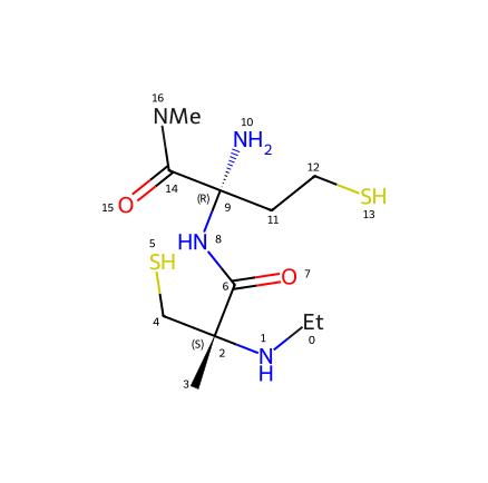 CCN[C@](C)(CS)C(=O)N[C@](N)(CCS)C(=O)NC